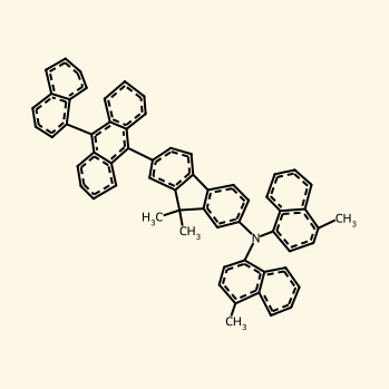 Cc1ccc(N(c2ccc3c(c2)C(C)(C)c2cc(-c4c5ccccc5c(-c5cccc6ccccc56)c5ccccc45)ccc2-3)c2ccc(C)c3ccccc23)c2ccccc12